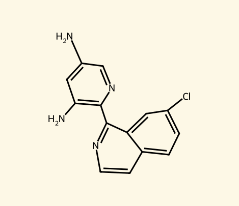 Nc1cnc(-c2nccc3ccc(Cl)cc23)c(N)c1